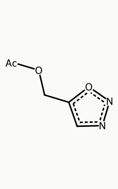 CC(=O)OCc1cnno1